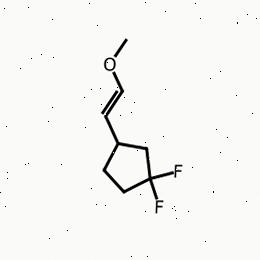 COC=CC1CCC(F)(F)C1